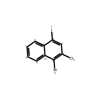 Clc1cc(I)c2ccccc2c1Br